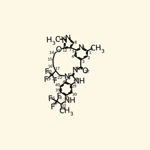 Cc1cc2cc(n1)-c1cnn(C)c1OCCCC(C(F)(F)F)CN1/C(=N/C2=O)Nc2cc(NC(C)C(F)(F)F)ccc21